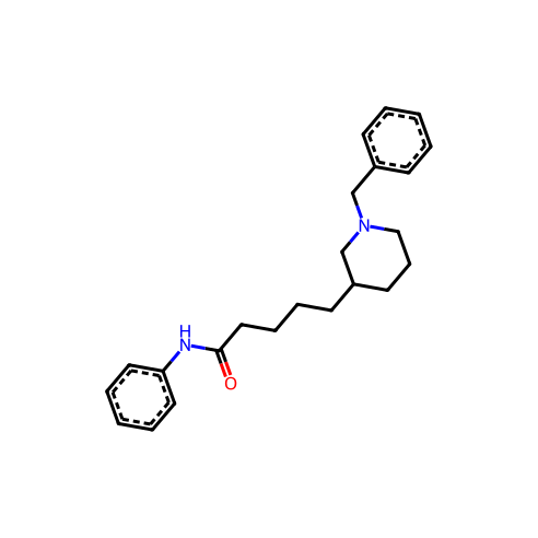 O=C(CCCCC1CCCN(Cc2ccccc2)C1)Nc1ccccc1